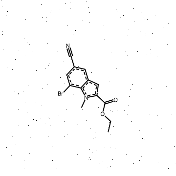 CCOC(=O)c1cc2cc(C#N)cc(Br)c2n1C